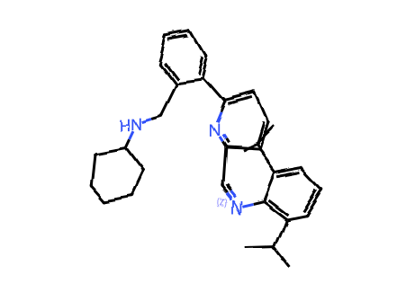 CC(C)c1cccc(C(C)C)c1/N=C\c1cccc(-c2ccccc2CNC2CCCCC2)n1